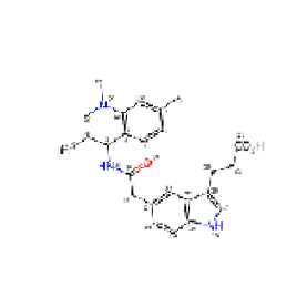 Cc1ccc(C(CC(C)C)NC(=O)Cc2ccc3[nH]cc(CCC(=O)O)c3c2)c(N(C)C)c1